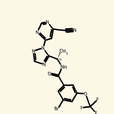 C[C@H](NC(=O)c1cc(Br)cc(OC(F)(F)F)c1)c1ncnn1-c1cc(C#N)ncn1